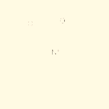 Cc1cccc[n+]1C(=O)[O-]